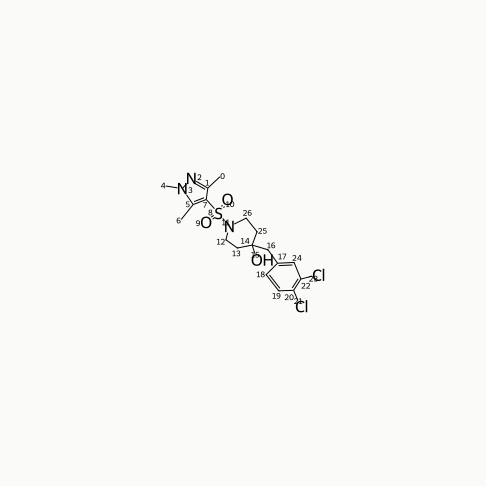 Cc1nn(C)c(C)c1S(=O)(=O)N1CCC(O)(Cc2ccc(Cl)c(Cl)c2)CC1